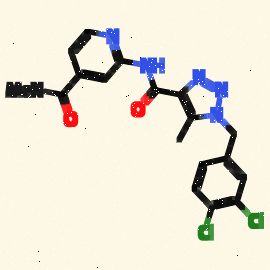 CNC(=O)c1ccnc(NC(=O)c2nnn(Cc3ccc(Cl)c(Cl)c3)c2C)c1